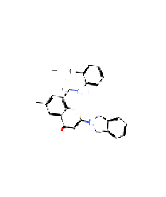 Cc1cc([C@H](C)Nc2ccccc2C(=O)O)c2sc(N3Cc4ccccc4C3)cc(=O)c2c1